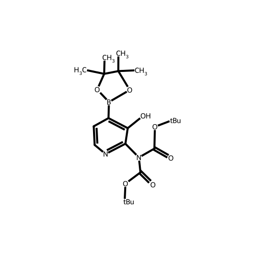 CC(C)(C)OC(=O)N(C(=O)OC(C)(C)C)c1nccc(B2OC(C)(C)C(C)(C)O2)c1O